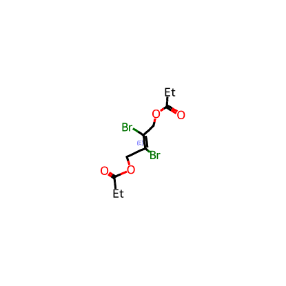 CCC(=O)OC/C(Br)=C(\Br)COC(=O)CC